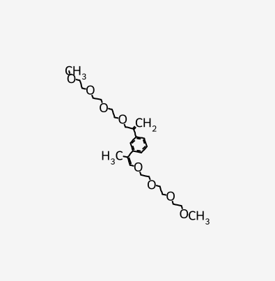 C=C(COCCOCCOCCOC)c1cccc(/C(C)=C\OCCOCCOCCOC)c1